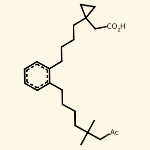 CC(=O)CC(C)(C)CCCCc1ccccc1CCCCC1(CC(=O)O)CC1